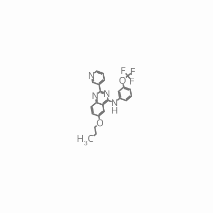 CCCOc1ccc2nc(-c3cccnc3)nc(Nc3cccc(OC(F)(F)F)c3)c2c1